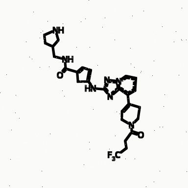 O=C(NCC1CCNC1)C1=CC=C(Nc2nc3c(C4=CCN(C(=O)CCC(F)(F)F)CC4)cccn3n2)C1